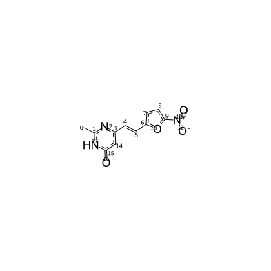 Cc1nc(C=Cc2ccc([N+](=O)[O-])o2)cc(=O)[nH]1